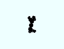 C=C(C)C(=O)Oc1ccc(-c2ccc(-c3ccc(OC)c(OC=C(C)C)c3)cc2)cc1OC=C(C)C